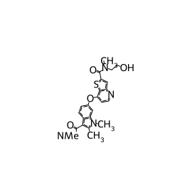 CNC(=O)c1c(C)n(C)c2cc(Oc3ccnc4cc(C(=O)N(C)CCO)sc34)ccc12